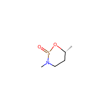 C[C@@H]1CCN(C)S(=O)O1